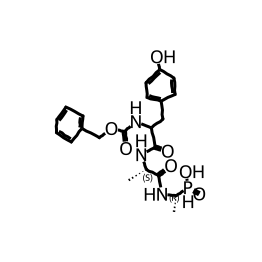 C[C@H](NC(=O)C(Cc1ccc(O)cc1)NC(=O)OCc1ccccc1)C(=O)N[C@@H](C)[PH](=O)O